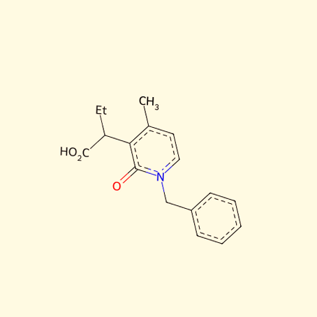 CCC(C(=O)O)c1c(C)ccn(Cc2ccccc2)c1=O